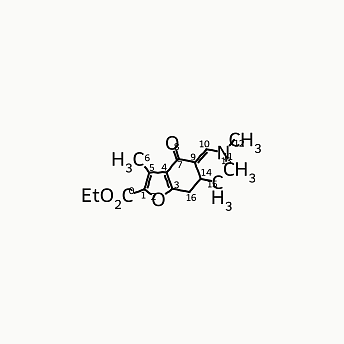 CCOC(=O)c1oc2c(c1C)C(=O)C(=CN(C)C)C(C)C2